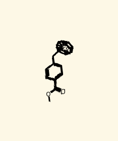 COC(=O)c1ccc(C[C]23[CH]4[CH]5[CH]6[CH]2[Fe]56432789[CH]3[CH]2[CH]7[CH]8[CH]39)cc1